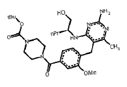 CCC[C@@H](CO)Nc1nc(N)nc(C)c1Cc1ccc(C(=O)N2CCN(C(=O)OC(C)(C)C)CC2)cc1OC